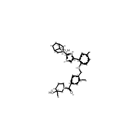 Cc1ccc(OCc2ccc(C(=O)N3CCCC(C)(O)C3)cc2C)c(-c2csc(N3CC4CCC(C3)C4C(=O)O)n2)c1